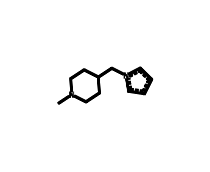 CN1CCC(Cn2cccc2)CC1